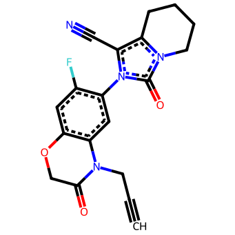 C#CCN1C(=O)COc2cc(F)c(-n3c(C#N)c4n(c3=O)CCCC4)cc21